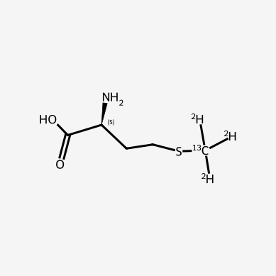 [2H][13C]([2H])([2H])SCC[C@H](N)C(=O)O